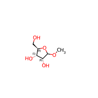 COC1O[C@H](CO)[C@@H](O)[C@H]1O